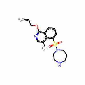 C=CCOc1ncc(C)c2c(S(=O)(=O)N3CCCNCC3)cccc12